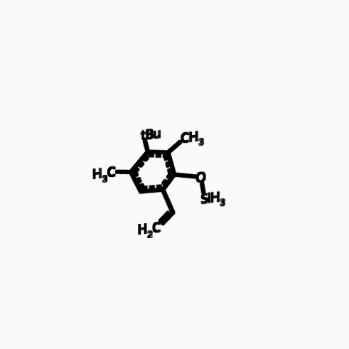 C=Cc1cc(C)c(C(C)(C)C)c(C)c1O[SiH3]